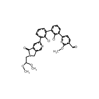 COc1nc(-c2cccc(-c3cccc(-c4cc5c(cn4)CN(CC(OC)OC)C5=O)c3Cl)c2Cl)ccc1C=O